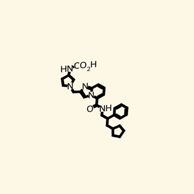 O=C(O)NC1CCN(Cc2cn3c(C(=O)NCC(CC4CCCC4)c4ccccc4)cccc3n2)C1